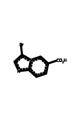 O=C(O)c1ccc2ncc(Br)n2c1